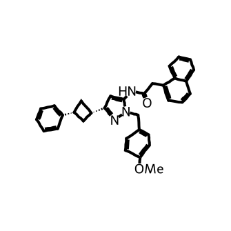 COc1ccc(Cn2nc([C@H]3C[C@@H](c4ccccc4)C3)cc2NC(=O)Cc2cccc3ccccc23)cc1